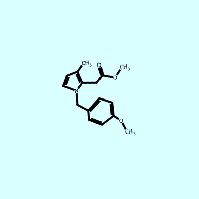 COC(=O)Cc1c(C)ccn1Cc1ccc(OC)cc1